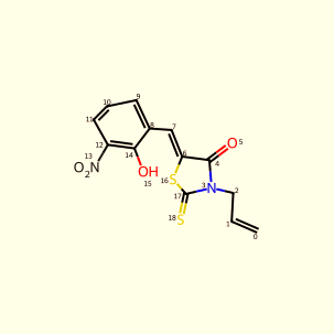 C=CCN1C(=O)C(=Cc2cccc([N+](=O)[O-])c2O)SC1=S